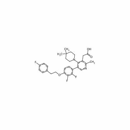 Cc1ncc(-c2ccc(OCCc3ccc(F)cc3)c(F)c2F)c(N2CCC(C)(C)CC2)c1CC(=O)O